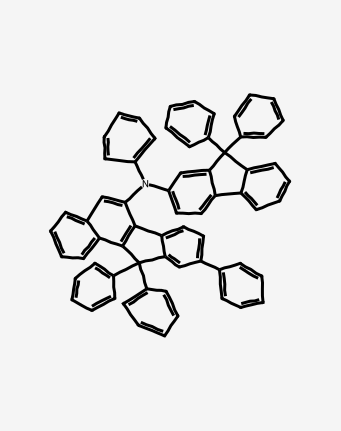 c1ccc(-c2ccc3c(c2)C(c2ccccc2)(c2ccccc2)c2c-3c(N(c3ccccc3)c3ccc4c(c3)C(c3ccccc3)(c3ccccc3)c3ccccc3-4)cc3ccccc23)cc1